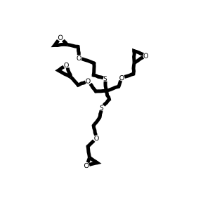 C(CSCC(COCC1CO1)(COCC1CO1)SCCOCC1CO1)OCC1CO1